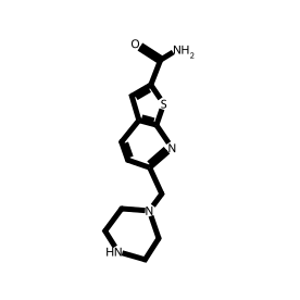 NC(=O)c1cc2ccc(CN3CCNCC3)nc2s1